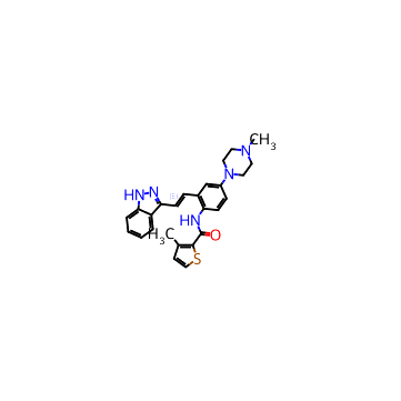 Cc1ccsc1C(=O)Nc1ccc(N2CCN(C)CC2)cc1/C=C/c1n[nH]c2ccccc12